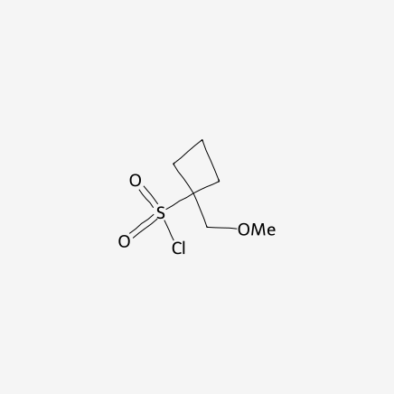 COCC1(S(=O)(=O)Cl)CCC1